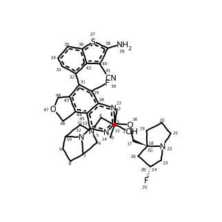 CC(C)(O)CN1CC2CCC(C1)N2c1nc(OC[C@@]23CCCN2C[C@H](F)C3)nc2c(F)c(-c3cccc4sc(N)c(C#N)c34)c3c(c12)COC3